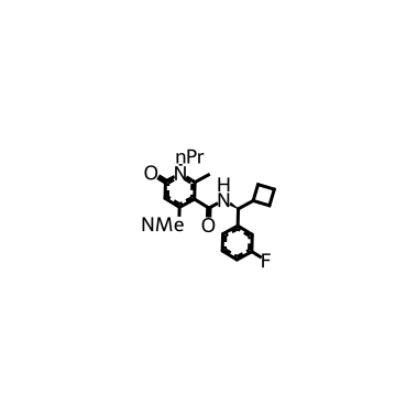 CCCn1c(C)c(C(=O)N[C@H](c2cccc(F)c2)C2CCC2)c(NC)cc1=O